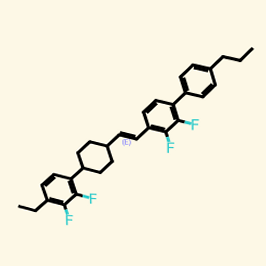 CCCc1ccc(-c2ccc(/C=C/C3CCC(c4ccc(CC)c(F)c4F)CC3)c(F)c2F)cc1